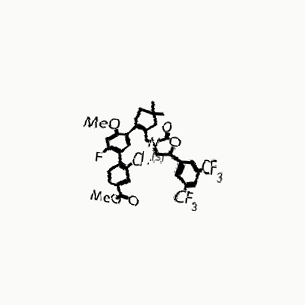 COC(=O)c1ccc(-c2cc(C3=C(CN4C(=O)OC(c5cc(C(F)(F)F)cc(C(F)(F)F)c5)[C@@H]4C)CC(C)(C)CC3)c(OC)cc2F)c(Cl)c1